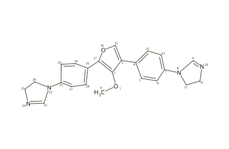 COc1c(-c2ccc(N3C=NCC3)cc2)coc1-c1ccc(N2C=NCC2)cc1